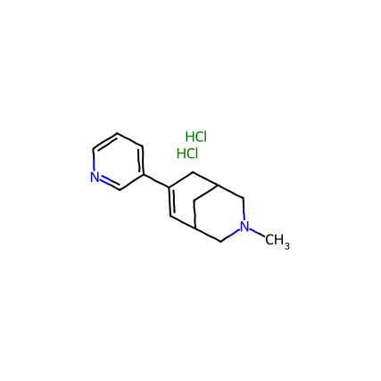 CN1CC2C=C(c3cccnc3)CC(C2)C1.Cl.Cl